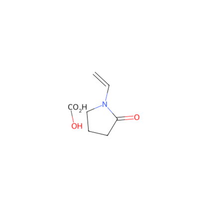 C=CN1CCCC1=O.O=C(O)O